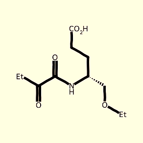 CCOC[C@@H](CCC(=O)O)NC(=O)C(=O)CC